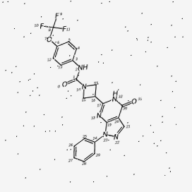 O=C(Nc1ccc(OC(F)(F)F)cc1)N1CC(c2nc3c(cnn3-c3ccccc3)c(=O)[nH]2)C1